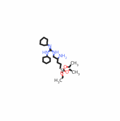 CCO[Si](CCCC(N)CNC(=NC1CCCCC1)NC1CCCCC1)(OCC)OCC